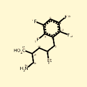 CCC(Cc1c(F)c(F)cc(F)c1F)CC(CN)C(=O)O